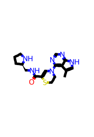 Cc1c[nH]c2ncnc(N3C=C(C(=O)NC[C@H]4CCCN4)SCC3)c12